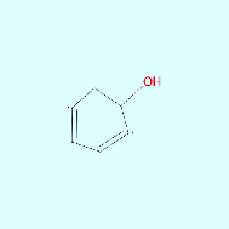 OC1[C]=CC=[C]C1